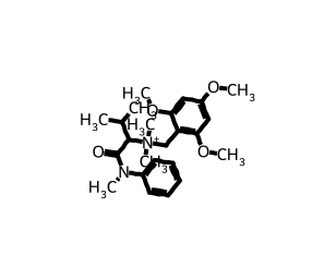 COc1cc(OC)c(C[N+](C)(C)C(C(=O)N(C)c2ccccc2)C(C)C)c(OC)c1